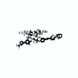 COC(=O)NC(C(=O)NC(Cc1ccc(C#Cc2ccc(N3CC4CCC(C3)N4)nc2)cc1)C(O)CN(Cc1c(F)cc(-c2cnn(C(F)F)c2)cc1F)NC(=O)C(NC(=O)O)C(C)(C)C(F)(F)F)C(C)(C)C(F)(F)F